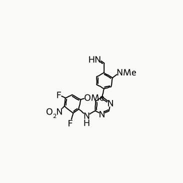 CNc1cc(-c2cc(Nc3c(OC)cc(F)c([N+](=O)[O-])c3F)ncn2)ccc1C=N